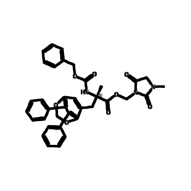 CN1CC(=O)N(COC(=O)[C@](C)(Cc2cc3c(-c4ccccc4)c(-c4ccccc4)c2OCO3)NC(=O)OCc2ccccc2)C1=O